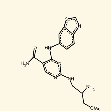 COCC(N)CNc1ncc(C(N)=O)c(Nc2ccc3ncsc3c2)n1